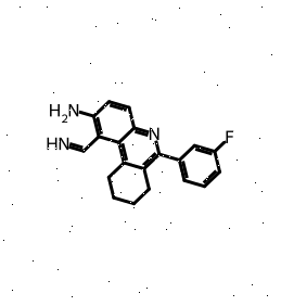 N=Cc1c(N)ccc2nc(-c3cccc(F)c3)c3c(c12)CCCC3